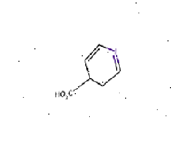 O=C(O)C1C=CI=CC1